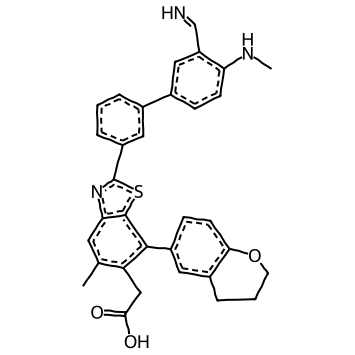 CNc1ccc(-c2cccc(-c3nc4cc(C)c(CC(=O)O)c(-c5ccc6c(c5)CCCO6)c4s3)c2)cc1C=N